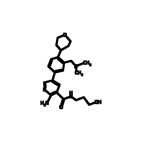 CN(C)Cc1cc(-c2cnc(N)c(C(=O)NCCCO)c2)ccc1C1CCOCC1